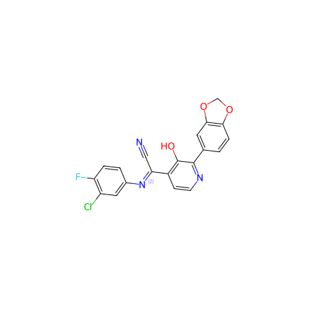 N#C/C(=N\c1ccc(F)c(Cl)c1)c1ccnc(-c2ccc3c(c2)OCO3)c1O